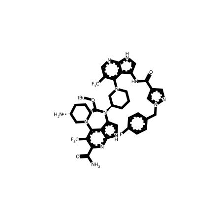 CC(C)(C)OC(=O)N(c1c[nH]c2nc(C(N)=O)c(C(F)(F)F)c(N3CCC[C@@H](N)C3)c12)[C@@H]1CCCN(c2c(C(F)(F)F)cnc3[nH]cc(NC(=O)c4cnn(Cc5ccc(F)cc5)c4)c23)C1